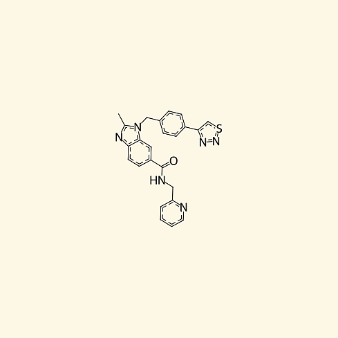 Cc1nc2ccc(C(=O)NCc3ccccn3)cc2n1Cc1ccc(-c2csnn2)cc1